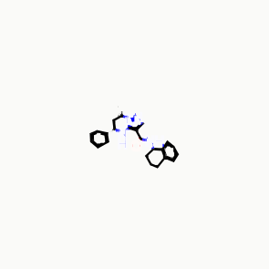 O=C(NC1CCCc2ccccc21)c1cnn2c1N[C@@H](c1ccccc1)C[C@H]2C(F)(F)F